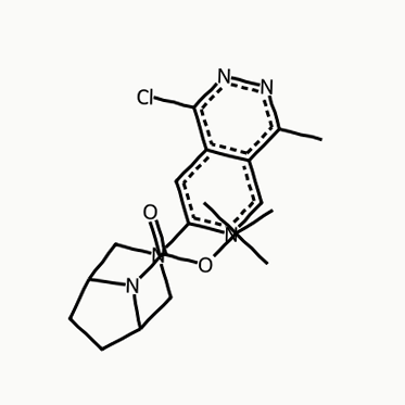 Cc1nnc(Cl)c2cc(N3CC4CCC(C3)N4C(=O)OC(C)(C)C)ncc12